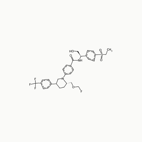 CCS(=O)(=O)c1ccc([C@H](CO)NC(=O)c2ccc(N3CC(c4ccc(C(F)(F)F)cc4)CC[C@H]3COCF)cc2)cc1